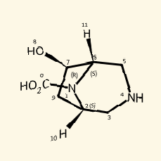 O=C(O)N1[C@@H]2CNC[C@H]1[C@H](O)C2